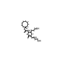 C=C(CC1(C)CCCCCCCC1)NC1CC(=C)C(CNCCO)CC1CCSS